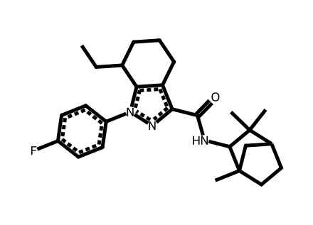 CCC1CCCc2c(C(=O)NC3C4(C)CCC(C4)C3(C)C)nn(-c3ccc(F)cc3)c21